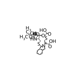 CC(C)(C)OC(=O)NC(CSc1c2ccccc2cn1[C@@H](CSCC(=O)O)C(=O)O)C(=O)O